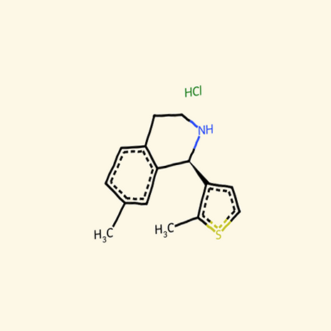 Cc1ccc2c(c1)[C@H](c1ccsc1C)NCC2.Cl